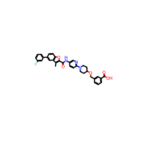 Cc1c(C(=O)Nc2ccc(N3CCC(OCc4cccc(C(=O)O)c4)CC3)nc2)oc2ccc(-c3cccc(F)c3)cc12